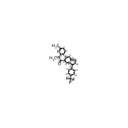 Cc1cccc(N(C)C(=O)c2cn3c(-c4ccc(C(F)(F)F)cc4)cnc3cn2)n1